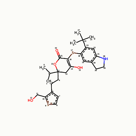 CC(C)C1(CCc2ccsc2CO)CC(O)=C(Sc2cc3c(cc2C(C)(C)C)NCC3)C(=O)O1